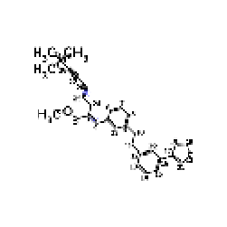 COC/C(=C/c1cccc(CCc2cccc(-c3ccsc3)c2)c1)C/C=C/C#CC(C)(C)C